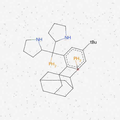 CC(C)(C)c1ccc(C23CC4CC(CC(C4)C2CP)C3)c(C(P)(C2CCCN2)C2CCCN2)c1